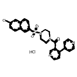 Cl.O=C(c1cnccc1-c1ccncc1)N1CCN(S(=O)(=O)c2ccc3cc(Cl)ccc3c2)CC1